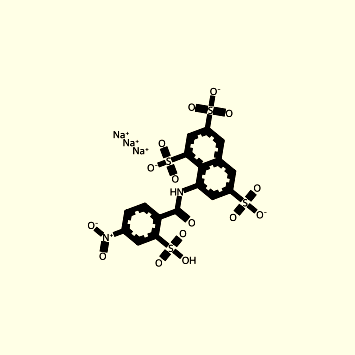 O=C(Nc1cc(S(=O)(=O)[O-])cc2cc(S(=O)(=O)[O-])cc(S(=O)(=O)[O-])c12)c1ccc([N+](=O)[O-])cc1S(=O)(=O)O.[Na+].[Na+].[Na+]